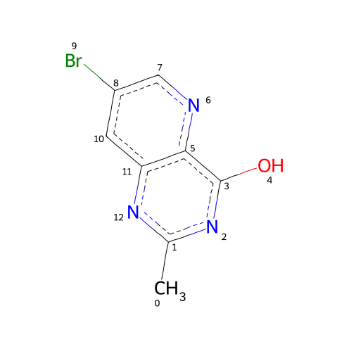 Cc1nc(O)c2ncc(Br)cc2n1